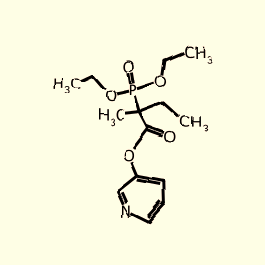 CCOP(=O)(OCC)C(C)(CC)C(=O)Oc1cccnc1